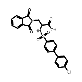 O=C(O)C(CN1C(=O)c2ccccc2C1=O)NS(=O)(=O)c1ccc(-c2ccc(Cl)cc2)cc1